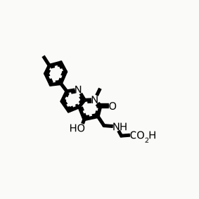 Cc1ccc(-c2ccc3c(O)c(CNCC(=O)O)c(=O)n(C)c3n2)cc1